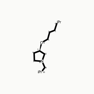 CC(C)CCCO[C@@H]1CCN(CC(C)C)C1